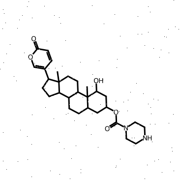 CC12CCC3C(CCC4CC(OC(=O)N5CCNCC5)CC(O)C43C)C1CCC2c1ccc(=O)oc1